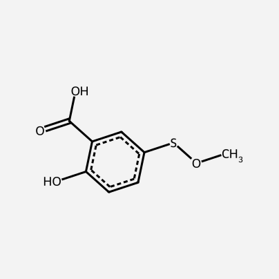 COSc1ccc(O)c(C(=O)O)c1